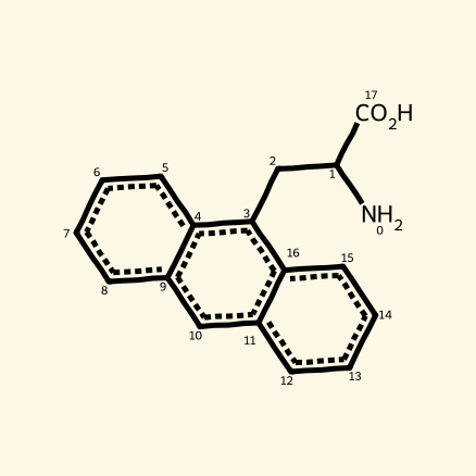 NC(Cc1c2ccccc2cc2ccccc12)C(=O)O